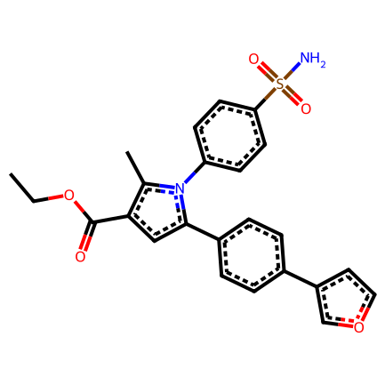 CCOC(=O)c1cc(-c2ccc(-c3ccoc3)cc2)n(-c2ccc(S(N)(=O)=O)cc2)c1C